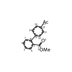 COC(=O)c1ccccc1-c1ccc(C(C)=O)cc1